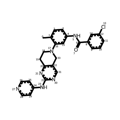 Cc1ccc(NC(=O)c2cccc(Cl)c2)cc1N1CCc2nc(Nc3ccncc3)ncc2C1